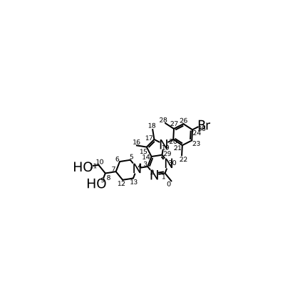 Cc1nc(N2CCC(C(O)CO)CC2)c2c(C)c(C)n(-c3c(C)cc(Br)cc3C)c2n1